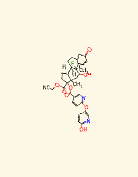 C[C@]12C=CC(=O)C=C1CC[C@H]1[C@@H]3CC[C@@](OC(=O)c4ccc(Oc5ccc(O)nc5)nc4)(C(=O)OCC#N)[C@@]3(C)C[C@H](O)C12F